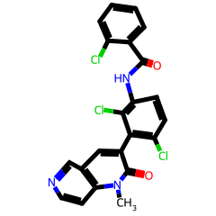 Cn1c(=O)c(-c2c(Cl)ccc(NC(=O)c3ccccc3Cl)c2Cl)cc2cnccc21